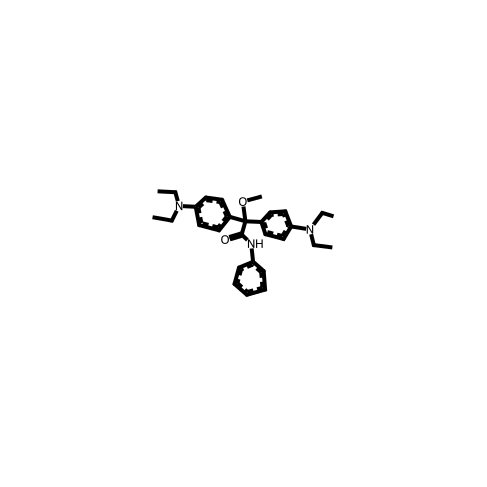 CCN(CC)c1ccc(C(OC)(C(=O)Nc2ccccc2)c2ccc(N(CC)CC)cc2)cc1